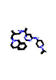 C=C(NCC(C)CN1CCc2ccccc2C1)c1cc(NC2CCN(C(=C)C)CC2)ncn1